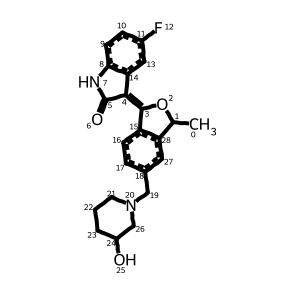 CC1OC(=C2C(=O)Nc3ccc(F)cc32)c2ccc(CN3CCCC(O)C3)cc21